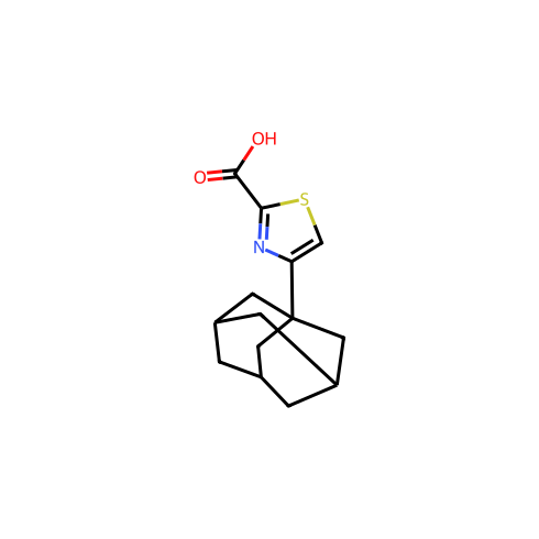 O=C(O)c1nc(C23CC4CC(CC(C4)C2)C3)cs1